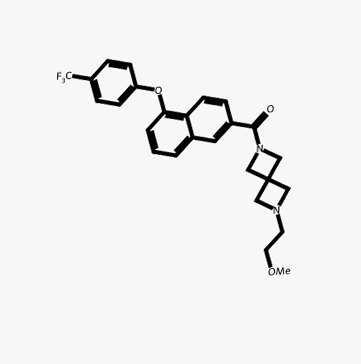 COCCN1CC2(C1)CN(C(=O)c1ccc3c(Oc4ccc(C(F)(F)F)cc4)cccc3c1)C2